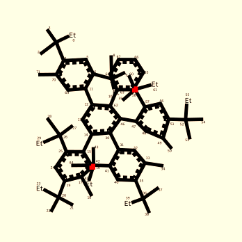 CCC(C)(C)c1cc(C(C)(C)CC)c(-c2cc(-c3cc(C)c(C(C)(C)CC)cc3C(C)(C)CC)c(-c3cc(C)c(C(C)(C)CC)cc3C(C)(C)CC)c(-c3cc(C)c(C(C)(C)CC)cc3C(C)(C)CC)c2-c2ccccc2)cc1C